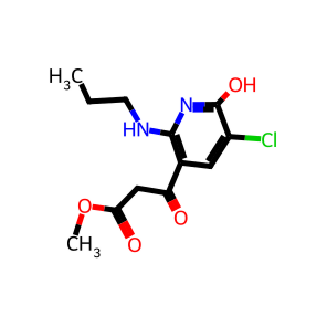 CCCNc1nc(O)c(Cl)cc1C(=O)CC(=O)OC